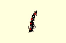 CCOC(=O)C[C@H]1CC[C@H](c2ccc(-c3ccc4nc(C(=O)NCc5c(C)cc(C)cc5C)cn4c3)cc2)CC1